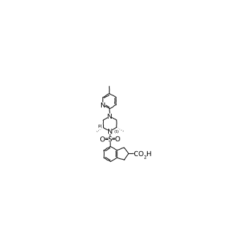 Cc1ccc(N2C[C@@H](C)N(S(=O)(=O)c3cccc4c3CC(C(=O)O)C4)[C@@H](C)C2)nc1